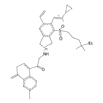 C=Cc1cc2c(c(S(=O)(=O)CCCC(C)(C)CC)c1/C=C(\C)C1CC1)C[C@H](NCC(=O)C1=CCC(=C)c3cc(C)ccc31)C2